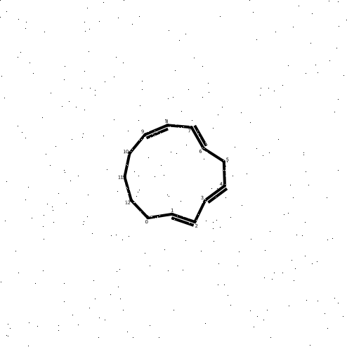 [CH]1/C=C/C=C/C/C=C/C=C\CCC1